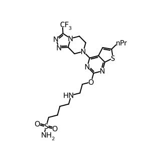 CCCc1cc2c(N3CCn4c(nnc4C(F)(F)F)C3)nc(OCCNCCCCS(N)(=O)=O)nc2s1